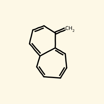 C=c1cccc2c1=CC=CC=C2